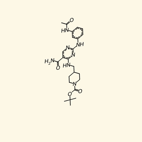 CC(=O)Nc1cccc(Nc2ncc(C(N)=O)c(NCC3CCN(C(=O)OC(C)(C)C)CC3)n2)c1